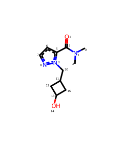 CN(C)C(=O)c1ccnn1CC1CC(O)C1